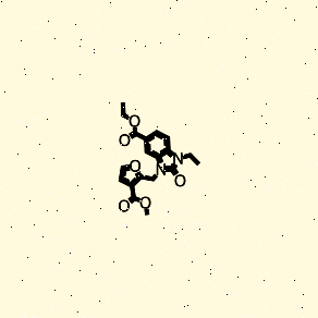 CCOC(=O)c1ccc2c(c1)n(Cc1occc1C(=O)OC)c(=O)n2CC